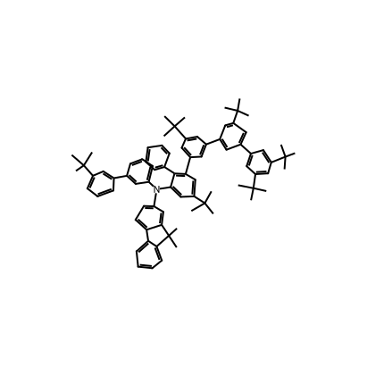 CC(C)(C)c1cccc(-c2cccc(N(c3ccc4c(c3)C(C)(C)c3ccccc3-4)c3cc(C(C)(C)C)cc(-c4cc(-c5cc(-c6cc(C(C)(C)C)cc(C(C)(C)C)c6)cc(C(C)(C)C)c5)cc(C(C)(C)C)c4)c3-c3ccccc3)c2)c1